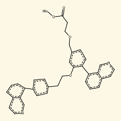 CC(C)(C)OC(=O)CCOCc1ccc(-c2cccc3ccncc23)c(OCCc2ccc(-c3cccc4ccncc34)cc2)c1